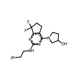 CC(C)CCNc1nc(N2CCC(O)C2)c2c(n1)C(F)(F)CC2